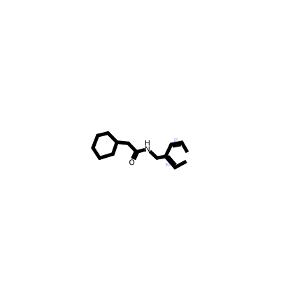 C/C=C\C(=C/C)CNC(=O)CC1CCCCC1